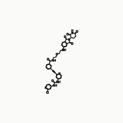 O=C1CCC(N2C(=O)c3ccc(NCCOCCNC(=O)c4cccc(C#Cc5cc(NC(=O)Nc6ccnc(Cl)c6)ccn5)c4)cc3C2=O)C(=O)N1